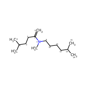 C=C(CCC(C)C)N(C)CCCCC(C)C